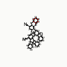 N#Cc1cc2c(c3c1C1c4ccccc4C3c3ccccc31)c1cc3oc4ccccc4c3c3c4c5c(c(C#N)cc4n2c13)C1c2ccccc2C12c1ccccc1C52